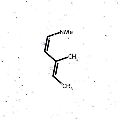 C/C=C(C)/C=C\NC